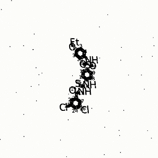 CCOc1ccc(NS(=O)(=O)c2ccc(NC(=S)NC(=O)c3cc(Cl)cc(Cl)c3)cc2)cc1